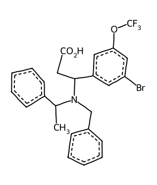 CC(c1ccccc1)N(Cc1ccccc1)C(CC(=O)O)c1cc(Br)cc(OC(F)(F)F)c1